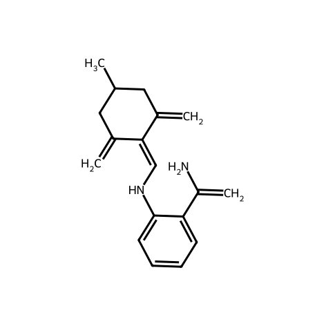 C=C1CC(C)CC(=C)C1=CNc1ccccc1C(=C)N